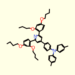 CCCCOc1ccc(-c2cc(-c3ccc(N(c4ccc(C)cc4)c4ccc(C)cc4)cc3)cc(-c3ccc(OCCCC)cc3OCCCC)n2)c(OCCCC)c1